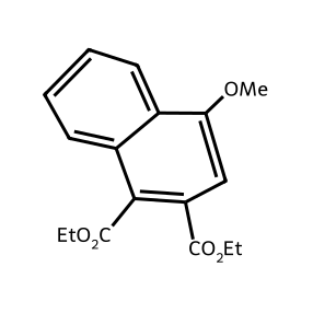 CCOC(=O)c1cc(OC)c2ccccc2c1C(=O)OCC